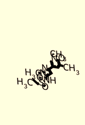 CCCS(=O)(=O)Nc1cc(-c2cc(C)c(=O)n(C)c2)nn1C